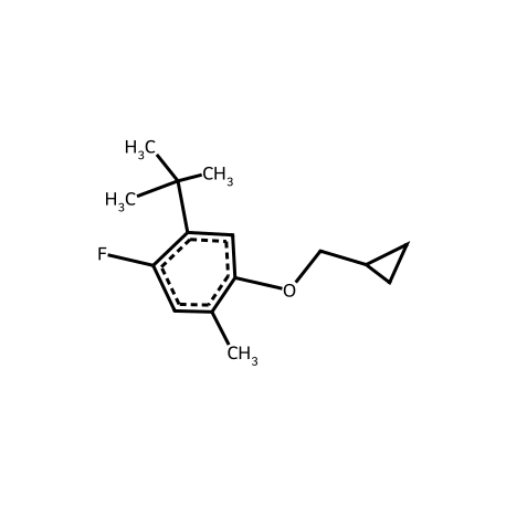 Cc1cc(F)c(C(C)(C)C)cc1OCC1CC1